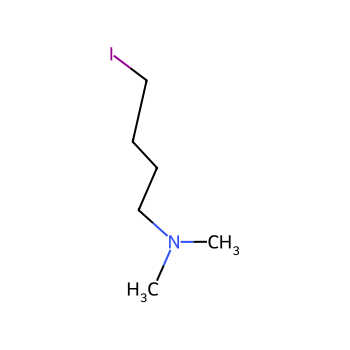 CN(C)CCCCI